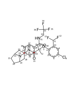 CC(C)(Oc1ccc(Cl)cc1C(F)F)C(=O)NC1CC2CCC(C1)N2c1ccc(C(=O)NCC(F)(F)F)cn1